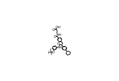 O=C(O)CCNC(=O)c1ccc(CC(C(=O)Nc2cccc(OC(F)(F)F)c2)c2ccc(C3CCCCC3)cc2)cc1